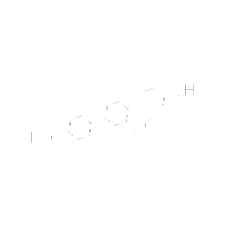 CC1=CC(C)C(c2ccc(-c3ccc(C)cc3)cc2F)C=C1